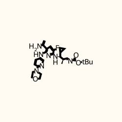 C=C(N)c1cc(F)c(N[C@H](C2CC2)[C@H](C)/C=N/C(=O)OC(C)(C)C)nc1Nc1ccc(N2CCOCC2)nc1